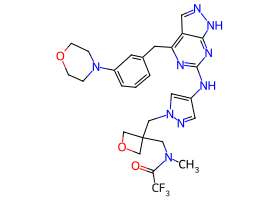 CN(CC1(Cn2cc(Nc3nc(Cc4cccc(N5CCOCC5)c4)c4cn[nH]c4n3)cn2)COC1)C(=O)C(F)(F)F